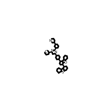 c1ccc(-c2cc(-c3ccc(-c4ccc(-c5cccc6sc7ccccc7c56)c5oc6ccccc6c45)cc3)nc(-c3cccc(-c4cccnc4)c3)n2)cc1